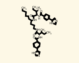 CCCCCCC(CCCNC(=O)[C@@H](NC(=O)c1ccc(-c2cnc[nH]2)cc1)C(C)CC)NC(=O)[C@@H](NC(=O)c1ccc(-c2cnc[nH]2)cc1)C(C)CC